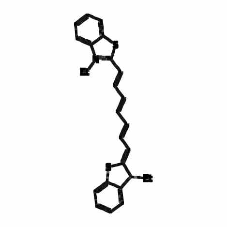 CCC1/C(=C/C=C/C=C/C=C/c2sc3ccccc3[n+]2CC)Sc2ccccc21